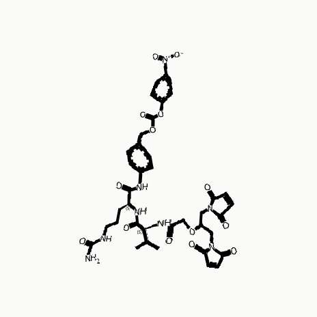 CC(C)[C@H](NC(=O)COC(CN1C(=O)C=CC1=O)CN1C(=O)C=CC1=O)C(=O)N[C@@H](CCCNC(N)=O)C(=O)Nc1ccc(COC(=O)Oc2ccc([N+](=O)[O-])cc2)cc1